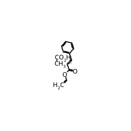 C=COC(=O)/C=C/c1ccccc1.CC(=O)O